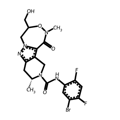 C[C@@H]1Cc2nn3c(c2CN1C(=O)Nc1cc(Br)c(F)cc1F)C(=O)N(C)OC(CO)C3